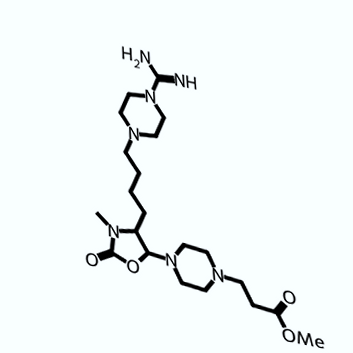 COC(=O)CCN1CCN(C2OC(=O)N(C)C2CCCCN2CCN(C(=N)N)CC2)CC1